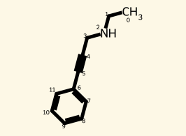 CCNCC#Cc1ccccc1